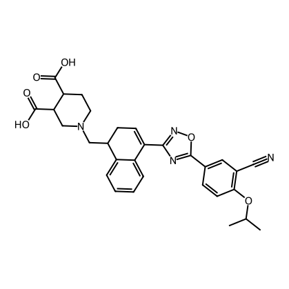 CC(C)Oc1ccc(-c2nc(C3=CCC(CN4CCC(C(=O)O)C(C(=O)O)C4)c4ccccc43)no2)cc1C#N